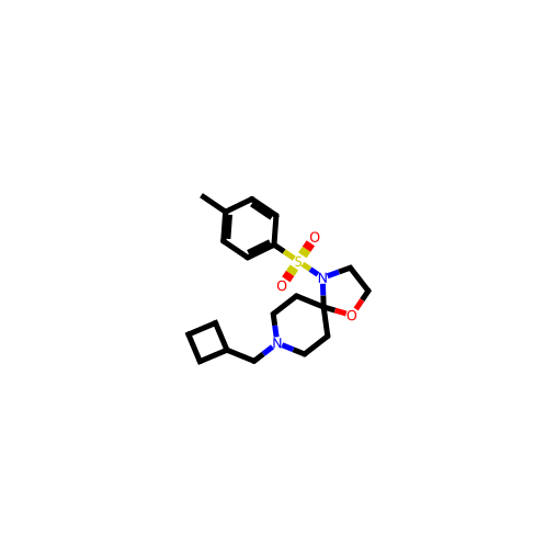 Cc1ccc(S(=O)(=O)N2CCOC23CCN(CC2CCC2)CC3)cc1